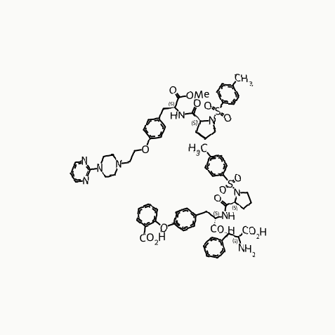 COC(=O)[C@H](Cc1ccc(OCCN2CCN(c3ncccn3)CC2)cc1)NC(=O)[C@@H]1CCCN1S(=O)(=O)c1ccc(C)cc1.Cc1ccc(S(=O)(=O)N2CCC[C@H]2C(=O)N[C@@H](Cc2ccc(Oc3ccccc3C(=O)O)cc2)C(=O)O)cc1.N[C@@H](Cc1ccccc1)C(=O)O